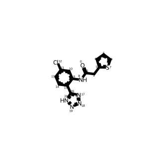 O=C(Cc1cccs1)Nc1cc(Cl)ccc1-c1nnn[nH]1